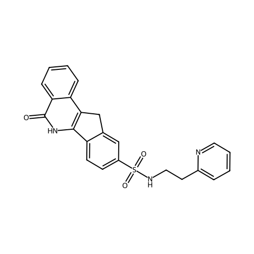 O=c1[nH]c2c(c3ccccc13)Cc1cc(S(=O)(=O)NCCc3ccccn3)ccc1-2